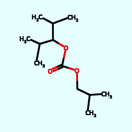 CC(C)COC(=O)OC(C(C)C)C(C)C